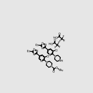 CCc1nc(-c2cnc(N3CCN(C(=O)OC(C)(C)C)CC3)c(Cl)c2)no1.CCc1nc(-c2cnc(N3CCNCC3)c(Cl)c2)no1.O=C(O)C(F)(F)F.O=C(O)C(F)(F)F